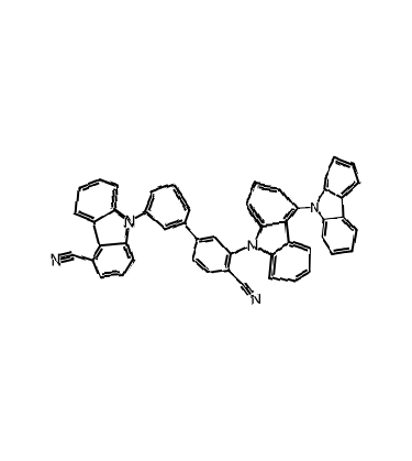 N#Cc1ccc(-c2cccc(-n3c4ccccc4c4c(C#N)cccc43)c2)cc1-n1c2ccccc2c2c(-n3c4ccccc4c4ccccc43)cccc21